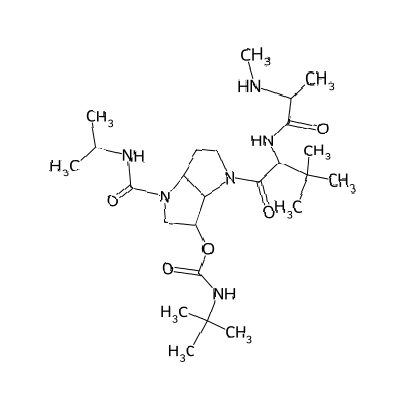 CNC(C)C(=O)NC(C(=O)N1CCC2C1C(OC(=O)NC(C)(C)C)CN2C(=O)NC(C)C)C(C)(C)C